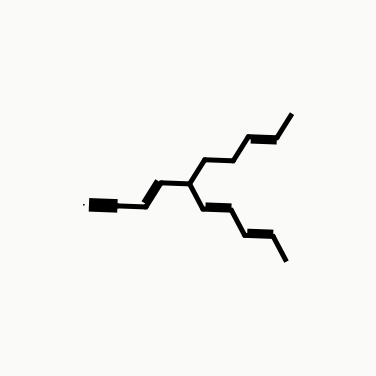 [C]#CC=CC(C=CC=CC)CCC=CC